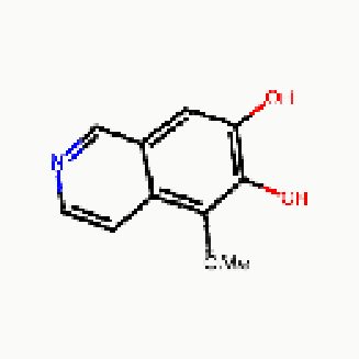 COc1c(O)c(O)cc2cnccc12